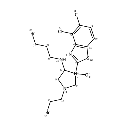 [O-][N+]1(c2nc3c(Cl)c(Cl)ccc3s2)CN(CCBr)CC1NCCCBr